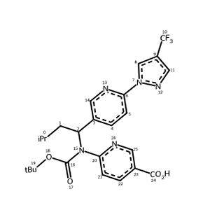 CC(C)CC(c1ccc(-n2cc(C(F)(F)F)cn2)nc1)N(C(=O)OC(C)(C)C)c1ccc(C(=O)O)cn1